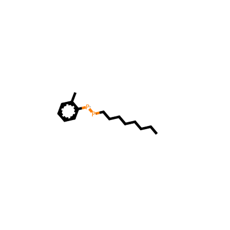 CCCCCCCC[P][P]c1ccccc1C